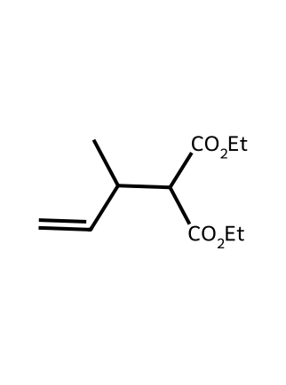 C=CC(C)C(C(=O)OCC)C(=O)OCC